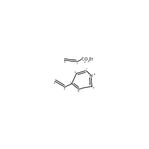 C=CC(=O)OCC.C=Cc1ccncc1